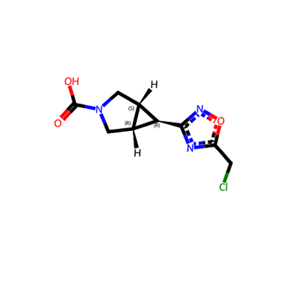 O=C(O)N1C[C@@H]2[C@H](C1)[C@H]2c1noc(CCl)n1